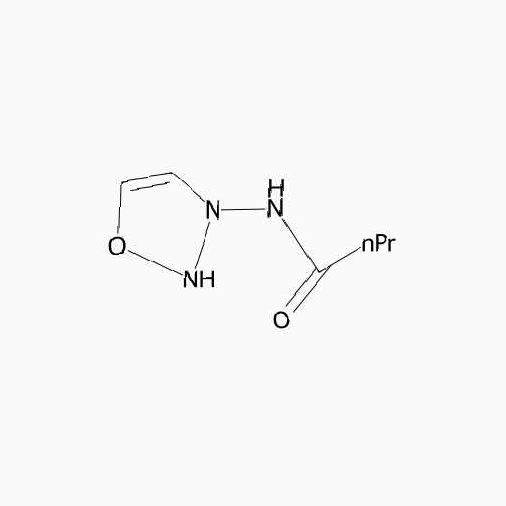 CCCC(=O)NN1C=CON1